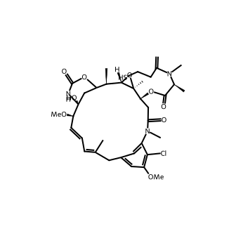 C=C(CCS)N(C)[C@@H](C)C(=O)O[C@H]1CC(=O)N(C)c2cc(cc(OC)c2Cl)C/C(C)=C/C=C/[C@@H](OC)[C@@]2(O)CC(OC(=O)N2)[C@@H](C)[C@@H]2O[C@@]12C